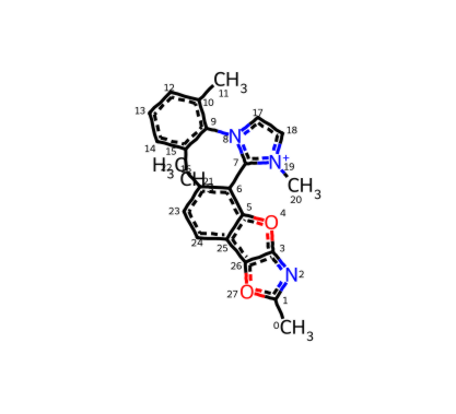 Cc1nc2oc3c(-c4n(-c5c(C)cccc5C)cc[n+]4C)c(C)ccc3c2o1